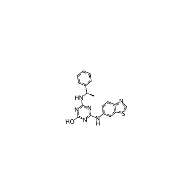 C[C@@H](Nc1nc(O)nc(Nc2ccc3ncsc3c2)n1)c1ccccc1